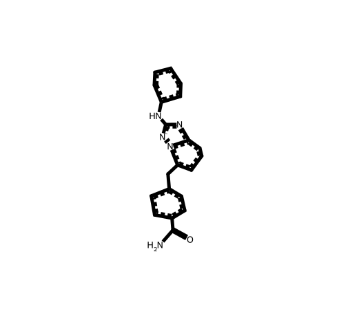 NC(=O)c1ccc(Cc2cccc3nc(Nc4ccccc4)nn23)cc1